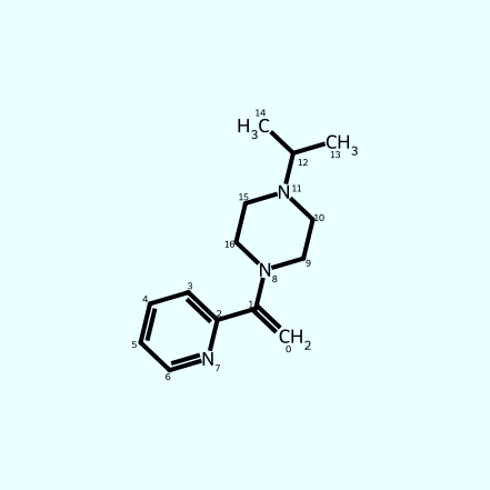 C=C(c1ccccn1)N1CCN(C(C)C)CC1